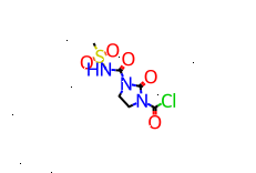 CS(=O)(=O)NC(=O)N1CCN(C(=O)Cl)C1=O